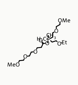 CCOCCP(C)(C)(CCOCCOC)OC(=O)CCOCCOCCOC